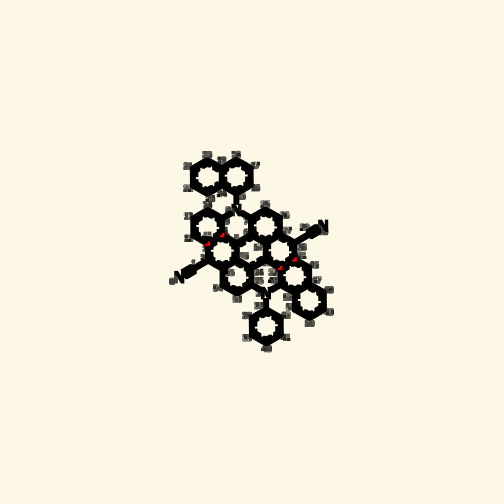 N#Cc1ccc2c3c(N(c4ccccc4)c4cccc5ccccc45)ccc4c(C#N)ccc(c5c(N(c6ccccc6)c6cccc7ccccc67)ccc1c25)c43